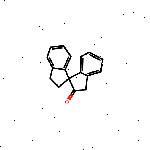 O=C1Cc2ccccc2C12CCc1ccccc12